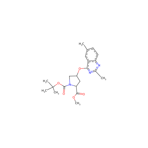 COC(=O)C1CC(Oc2nc(C)nc3ccc(C)cc23)CN1C(=O)OC(C)(C)C